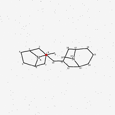 CC1CC2CCC(C1)N2CCC1CC2CCCC(C1)N2C